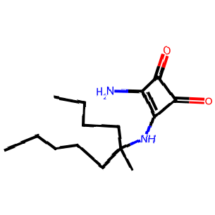 CCCCCC(C)(CCCC)Nc1c(N)c(=O)c1=O